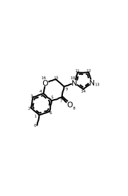 Cc1ccc2c(c1)C(=O)C(n1ccnc1)CO2